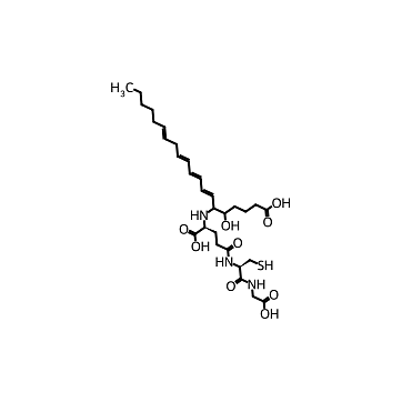 CCCCCC=CCC=CC=CC=CC(N[C@@H](CCC(=O)N[C@@H](CS)C(=O)NCC(=O)O)C(=O)O)C(O)CCCC(=O)O